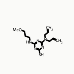 C=CCN(CC=C)c1nc(S)nc(NCCCOC)n1